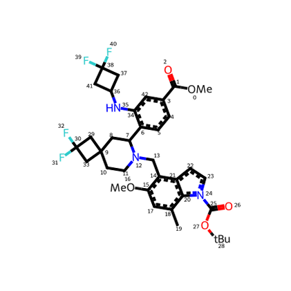 COC(=O)c1ccc(C2CC3(CCN2Cc2c(OC)cc(C)c4c2ccn4C(=O)OC(C)(C)C)CC(F)(F)C3)c(NC2CC(F)(F)C2)c1